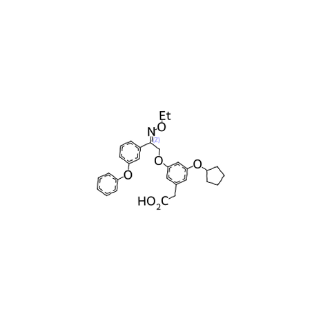 CCO/N=C(\COc1cc(CC(=O)O)cc(OC2CCCC2)c1)c1cccc(Oc2ccccc2)c1